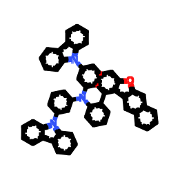 c1cc(N(c2cccc(-n3c4ccccc4c4ccccc43)c2)c2ccccc2-c2cccc3oc4cc5ccccc5cc4c23)cc(-n2c3ccccc3c3ccccc32)c1